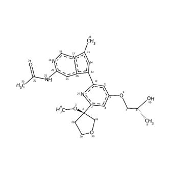 CO[C@]1(c2cc(OC[C@@H](C)O)cc(-c3cc(C)n4cnc(NC(C)=O)cc34)n2)CCOC1